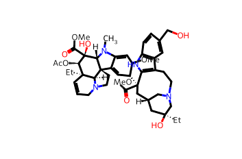 CC[C@]1(O)C[C@H]2CN(CCc3c([nH]c4ccc(CO)cc34)[C@@](C(=O)OC)(C3C=C4C(=CC3OC)N(C)[C@H]3[C@@](O)(C(=O)OC)[C@H](OC(C)=O)[C@]5(CC)C=CCN6CC[C@]43[C@@H]65)C2)C1